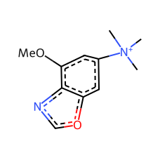 COc1cc([N+](C)(C)C)cc2ocnc12